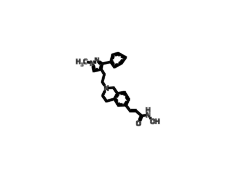 Cn1cc(CCN2CCc3cc(/C=C/C(=O)NO)ccc3C2)c(-c2ccccc2)n1